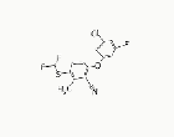 Cc1c(SC(F)F)ccc(Oc2cc(F)cc(Cl)c2)c1C#N